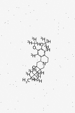 [2H]c1c2c(c([2H])c(OC([2H])([2H])[2H])c1OC([2H])([2H])[2H])C1CC(=O)C([2H])(C([2H])([2H])C([2H])(C([2H])([2H])[2H])C([2H])([2H])C)CN1CC2